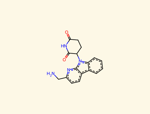 NCc1ccc2c3ccccc3n(C3CCC(=O)NC3=O)c2n1